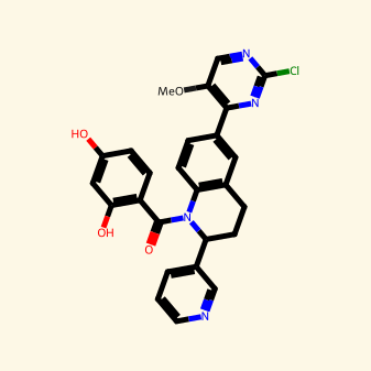 COc1cnc(Cl)nc1-c1ccc2c(c1)CCC(c1cccnc1)N2C(=O)c1ccc(O)cc1O